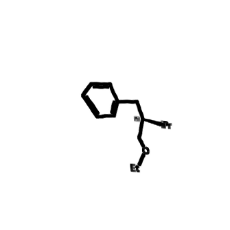 CCOC[C@@H](Cc1ccccc1)C(C)C